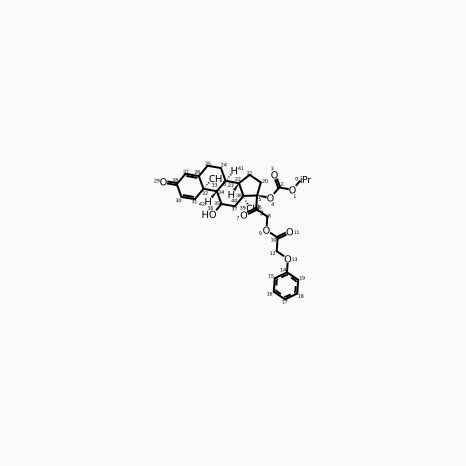 CC(C)OC(=O)O[C@]1(C(=O)COC(=O)COc2ccccc2)CC[C@H]2[C@@H]3CCC4=CC(=O)C=C[C@]4(C)[C@H]3C(O)C[C@@]21C